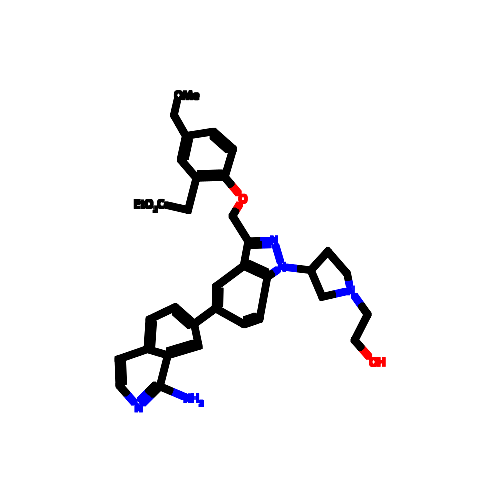 CCOC(=O)Cc1cc(COC)ccc1OCc1nn(C2CCN(CCO)C2)c2ccc(-c3ccc4ccnc(N)c4c3)cc12